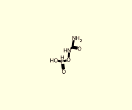 NC(=O)NO[PH](=O)O